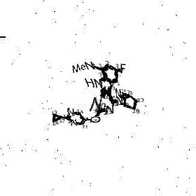 CNc1cc(F)cc2c1[nH]c1nc(Oc3cnc(C4CC4)nc3)nc(N3CC4CCC3C4N)c12